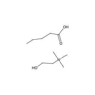 CCCCC(=O)O.C[N+](C)(C)CCO